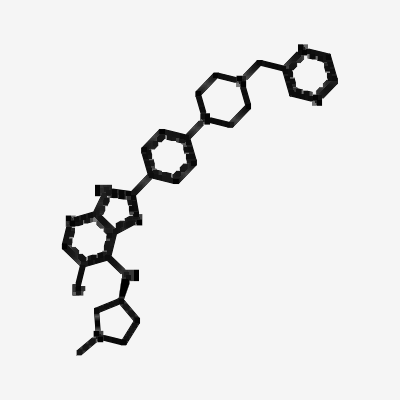 CN1CC[C@H](Nc2c(Br)cnc3[nH]c(-c4ccc(N5CCN(Cc6cnccn6)CC5)cc4)nc23)C1